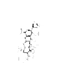 CN(C)c1cc(-c2cn[nH]c2)c(O)c2c1CC1CC3[C@H](N(C)C)C=C(C(N)=O)C(=O)[C@@]3(O)C(O)=C1C2=O